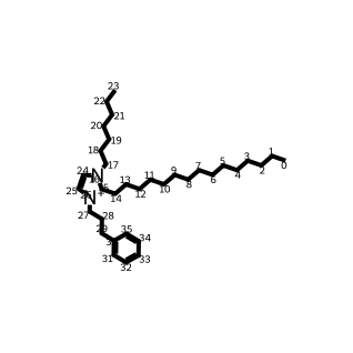 CCCCCCCCCCCCCCCc1n(CCCCCCC)cc[n+]1CCCc1ccccc1